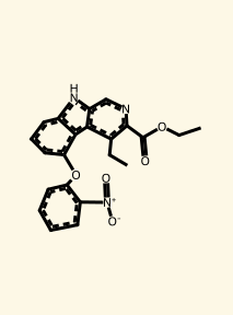 CCOC(=O)c1ncc2[nH]c3cccc(Oc4ccccc4[N+](=O)[O-])c3c2c1CC